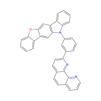 c1cc(-c2ccc3ccc4cccnc4c3n2)cc(-n2c3ccccc3c3cc4oc5ccccc5c4cc32)c1